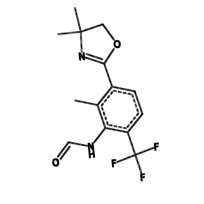 Cc1c(C2=NC(C)(C)CO2)ccc(C(F)(F)F)c1NC=O